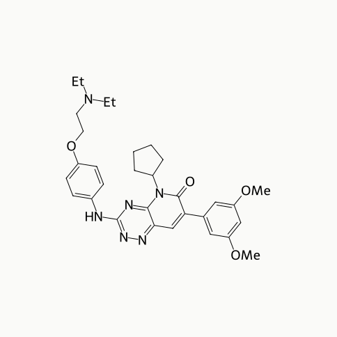 CCN(CC)CCOc1ccc(Nc2nnc3cc(-c4cc(OC)cc(OC)c4)c(=O)n(C4CCCC4)c3n2)cc1